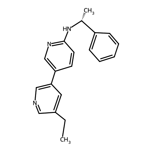 CCc1cncc(-c2ccc(N[C@H](C)c3ccccc3)nc2)c1